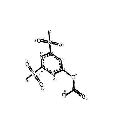 CS(=O)(=O)c1cc(OC(=O)Cl)nc(S(C)(=O)=O)n1